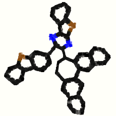 c1ccc2cc3c(cc2c1)CCC(c1nc2sc4ccccc4c2nc1-c1ccc2c(c1)sc1ccccc12)c1cc2ccccc2cc1-3